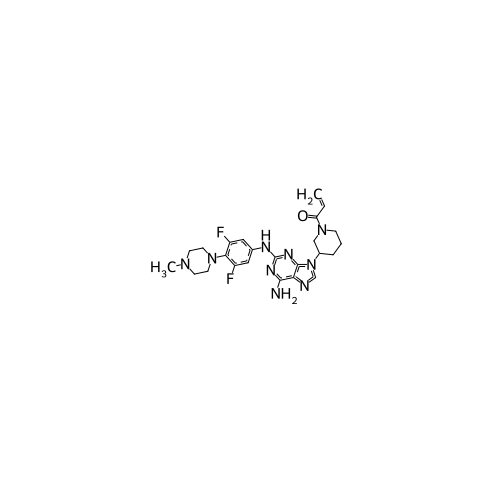 C=CC(=O)N1CCCC(n2cnc3c(N)nc(Nc4cc(F)c(N5CCN(C)CC5)c(F)c4)nc32)C1